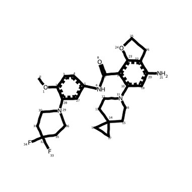 COc1ccc(NC(=O)c2c(N3CCC4(CC3)CC4)cc(N)c3c2OCC3)cc1N1CCC(F)(F)CC1